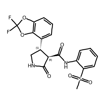 CS(=O)(=O)c1ccccc1NC(=O)[C@H]1C(=O)NC[C@@H]1c1cccc2c1OC(F)(F)O2